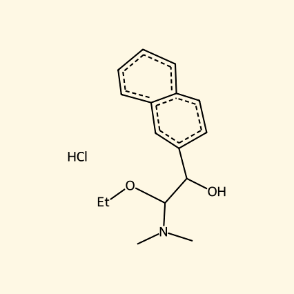 CCOC(C(O)c1ccc2ccccc2c1)N(C)C.Cl